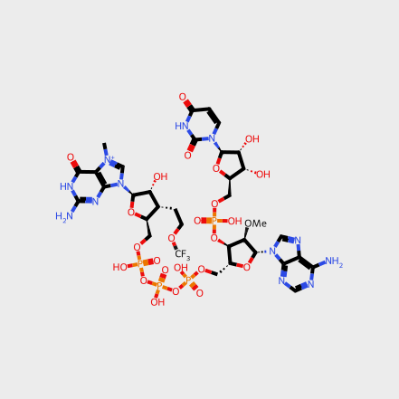 CO[C@@H]1[C@H](OP(=O)(O)OC[C@H]2O[C@@H](n3ccc(=O)[nH]c3=O)[C@H](O)[C@@H]2O)[C@@H](COP(=O)(O)OP(=O)(O)OP(=O)(O)OC[C@H]2O[C@@H](n3c[n+](C)c4c(=O)[nH]c(N)nc43)[C@H](O)[C@@H]2CCOC(F)(F)F)O[C@H]1n1cnc2c(N)ncnc21